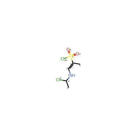 C/C(=C\NC(C)Cl)S(=O)(=O)Cl